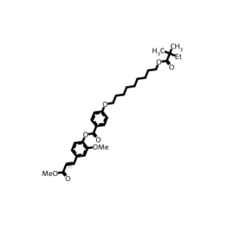 CCC(C)(C)C(=O)OCCCCCCCCCOc1ccc(C(=O)Oc2ccc(/C=C/C(=O)OC)cc2OC)cc1